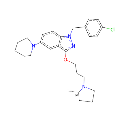 C[C@H]1CCCN1CCCOc1nn(Cc2ccc(Cl)cc2)c2ccc(N3CCCCC3)cc12